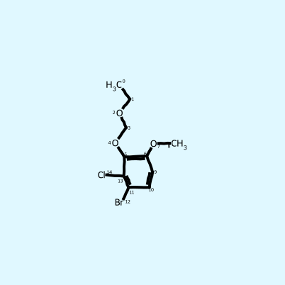 CCOCOc1c(OC)ccc(Br)c1Cl